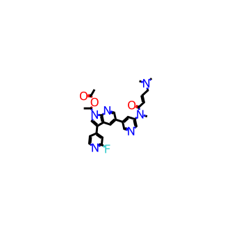 CC(=O)OC(C)n1cc(-c2ccnc(F)c2)c2cc(-c3cncc(N(C)C(=O)/C=C/CN(C)C)c3)cnc21